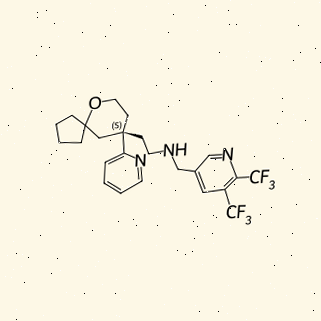 FC(F)(F)c1cc(CNCC[C@]2(c3ccccn3)CCOC3(CCCC3)C2)cnc1C(F)(F)F